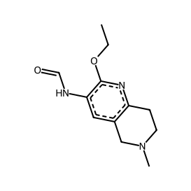 CCOc1nc2c(cc1NC=O)CN(C)CC2